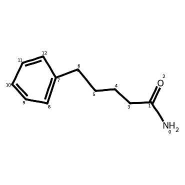 NC(=O)CCC[CH]c1ccccc1